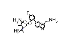 C=C(C(N)=O)/C(CCOc1cc(F)ccc1-c1ccc2ncc(CCN)n2c1)=C(/C)NC